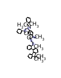 C=C(/N=C(\C=C(/C)c1ccccc1)c1ccc2c(=C\C)/c(=C\C=C/c3ccccc3-c3c(C)ccc4c3-c3ccccc3C4(C)C)oc2c1)C1(C)C=CC=CC1